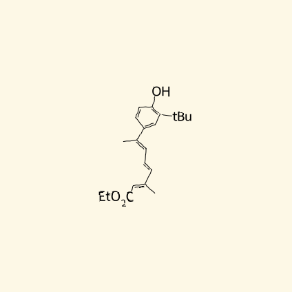 CCOC(=O)C=C(C)C=CC=C(C)c1ccc(O)c(C(C)(C)C)c1